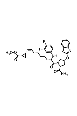 COC(=O)[C@H]1C[C@H]1/C=C\CCCCC[C@H](Nc1ccc(F)c(F)c1)C(=O)N1C[C@H](Oc2nc3ccccc3s2)C[C@H]1C(N)=O